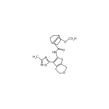 Cc1noc(-c2c(NC(=O)C3=C(OC(=O)O)C4CCC3CC4)sc3c2CCOC3)n1